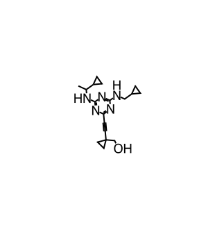 CC(Nc1nc(C#CC2(CO)CC2)nc(NCC2CC2)n1)C1CC1